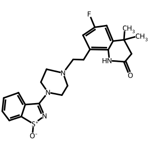 CC1(C)CC(=O)Nc2c(CCN3CCN(c4n[s+]([O-])c5ccccc45)CC3)cc(F)cc21